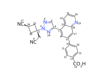 N#CC[C@]1(n2ncc(-c3cc(-c4ccc(C(=O)O)cc4)cc4ncccc34)n2)C[C@H](C#N)C1